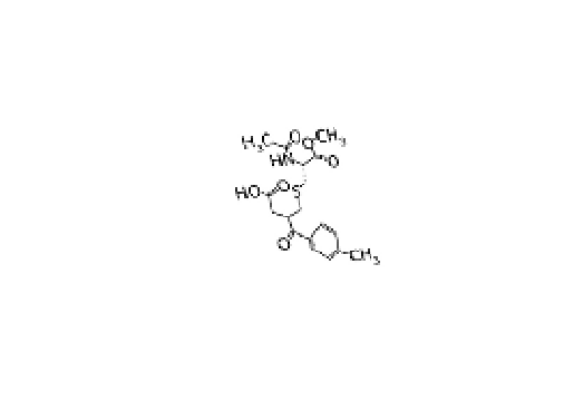 COC(=O)[C@H](CSCC(CC(=O)O)C(=O)c1ccc(C)cc1)NC(C)=O